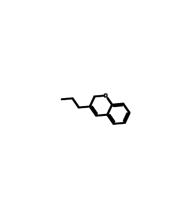 CCCC1=Cc2ccccc2OC1